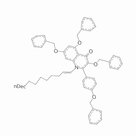 CCCCCCCCCCCCCCCCC=Cn1c(-c2ccc(OCc3ccccc3)cc2)c(OCc2ccccc2)c(=O)c2c(OCc3ccccc3)cc(OCc3ccccc3)cc21